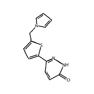 O=c1ccc(-c2ccc(Cn3cccc3)s2)n[nH]1